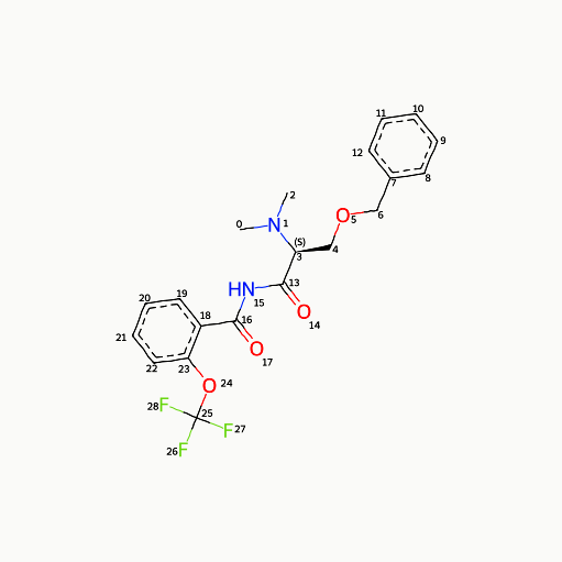 CN(C)[C@@H](COCc1ccccc1)C(=O)NC(=O)c1ccccc1OC(F)(F)F